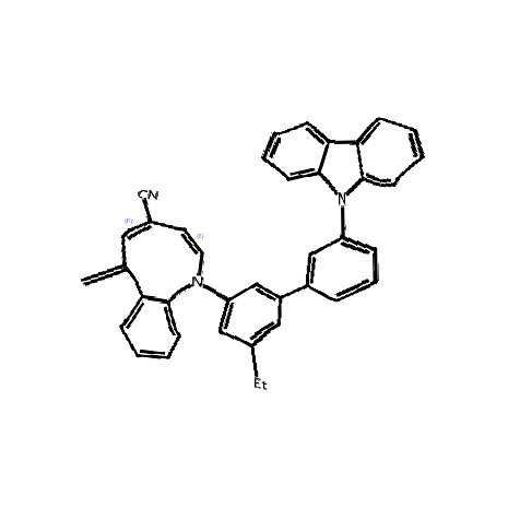 C=C1/C=C(C#N)\C=C/N(c2cc(CC)cc(-c3cccc(-n4c5ccccc5c5ccccc54)c3)c2)c2ccccc21